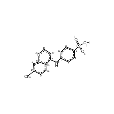 O=S(=O)(O)c1ccc(Nc2ccnc3cc(Cl)ccc23)cc1